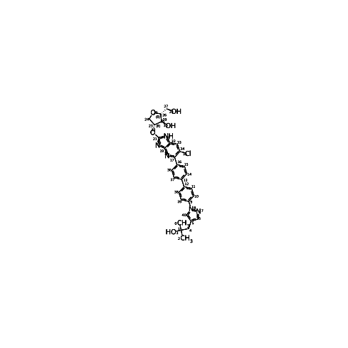 CC(C)(O)Cc1cnn(-c2ccc(-c3ccc(-c4nc5nc(O[C@@H]6CO[C@H](CO)[C@H]6O)[nH]c5cc4Cl)cc3)cc2)c1